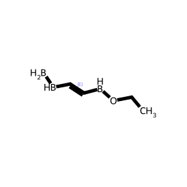 BB/C=C/BOCC